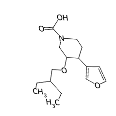 CCC(CC)COC1CN(C(=O)O)CCC1c1ccoc1